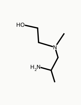 CC(N)CN(C)CCO